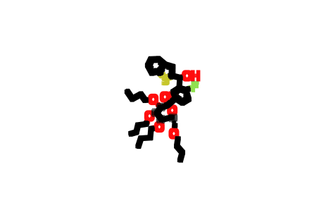 CCCCOC[C@H]1OC(O)(c2ccc(F)c(C(O)c3cc4ccccc4s3)c2)[C@H](OCCCC)[C@@H](OCCCC)[C@@H]1OCCCC